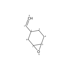 [CH]=CC1CCC2OC2C1